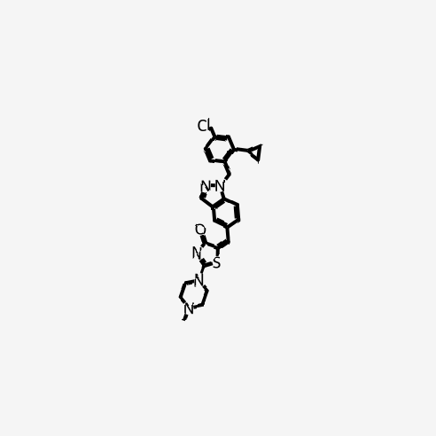 CN1CCN(C2=NC(=O)C(=Cc3ccc4c(cnn4Cc4ccc(Cl)cc4C4CC4)c3)S2)CC1